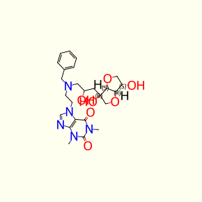 Cn1c(=O)c2c(ncn2CCN(Cc2ccccc2)CC(O)C[C@@]2(O)CO[C@@H]3[C@@H](O)CO[C@@H]32)n(C)c1=O